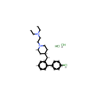 CCN(CC)CCN1CCC(Cc2ccccc2-c2ccc(Cl)cc2)CC1.Cl.Cl